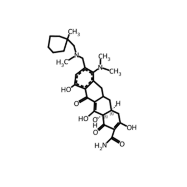 CN(Cc1cc(O)c2c(c1N(C)C)CC1C[C@H]3CC(O)=C(C(N)=O)C(=O)[C@@]3(O)C(O)=C1C2=O)CC1(C)CCCCC1